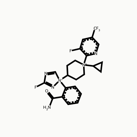 NC(=O)c1ccccc1[N+]1(C2CC[N+](c3ncc(C(F)(F)F)cc3F)(C3CC3)CC2)C=NC(F)=N1